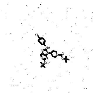 CC(C)(C)Nc1ncc2nc(Nc3ccc(Cl)cc3)n(C3CCN(C(=O)OC(C)(C)C)CC3)c2n1